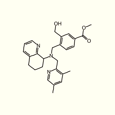 COC(=O)c1ccc(CN(Cc2ncc(C)cc2C)C2CCCc3cccnc32)c(CO)c1